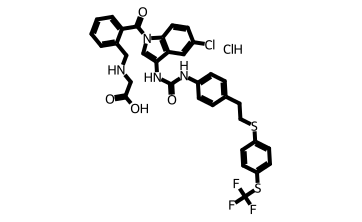 Cl.O=C(O)CNCc1ccccc1C(=O)n1cc(NC(=O)Nc2ccc(CCSc3ccc(SC(F)(F)F)cc3)cc2)c2cc(Cl)ccc21